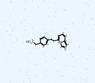 O=C(O)Cc1ccc(CCc2cccc3cncn23)cc1